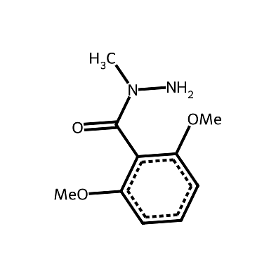 COc1cccc(OC)c1C(=O)N(C)N